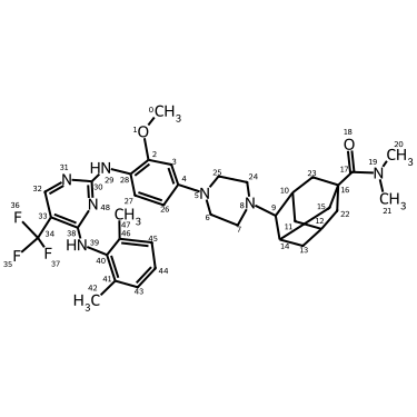 COc1cc(N2CCN(C3C4CC5CC3CC(C(=O)N(C)C)(C5)C4)CC2)ccc1Nc1ncc(C(F)(F)F)c(Nc2c(C)cccc2C)n1